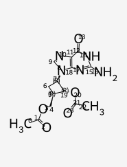 CC(=O)OC[C@H]1C[C@@H](n2cnc3c(=O)[nH]c(N)nc32)[C@@H]1OC(C)=O